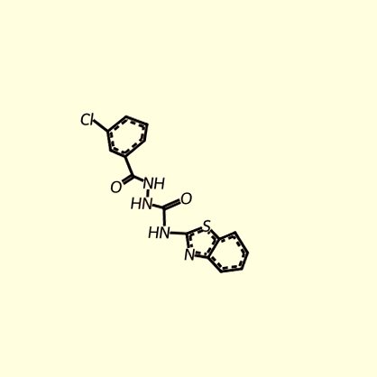 O=C(NNC(=O)c1cccc(Cl)c1)Nc1nc2ccccc2s1